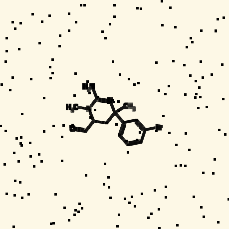 CN1C(N)=NC(C)(c2cccc(Br)c2)CC1C=O